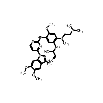 C=CC(O)Nc1cc(Nc2nccc(-n3nc(C)c4cc(OC)c(OC)cc43)n2)c(OC)cc1N(C)CCN(C)C